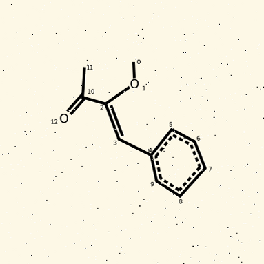 COC(=Cc1ccccc1)C(C)=O